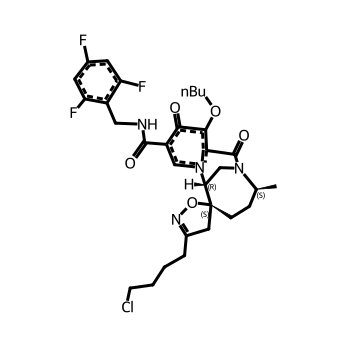 CCCCOc1c2n(cc(C(=O)NCc3c(F)cc(F)cc3F)c1=O)[C@@H]1CN(C2=O)[C@@H](C)CC[C@]12CC(CCCCCl)=NO2